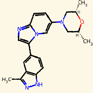 Cc1n[nH]c2ccc(-c3cnc4ccc(N5C[C@@H](C)O[C@@H](C)C5)cn34)cc12